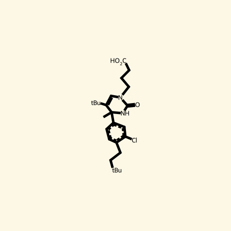 CC(C)(C)CCc1ccc(C2(C)NC(=O)N(CCCC(=O)O)C=C2C(C)(C)C)cc1Cl